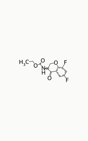 CCOC(=O)N[C@H]1COc2c(F)cc(F)cc2C1=O